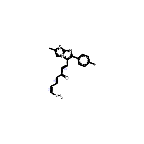 Cc1cn2c(/C=C/C(=O)/C=C/C=C\N)c(-c3ccc(F)cc3)nc2s1